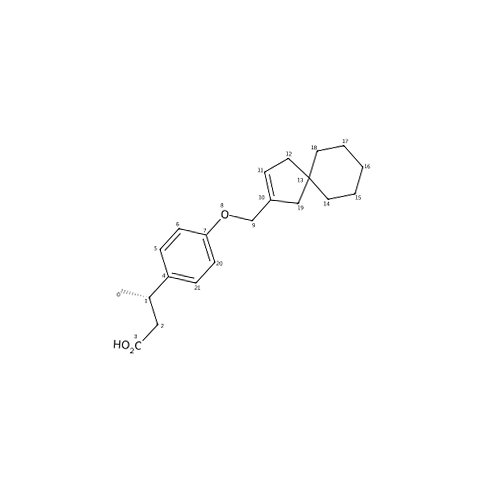 C[C@@H](CC(=O)O)c1ccc(OCC2=CCC3(CCCCC3)C2)cc1